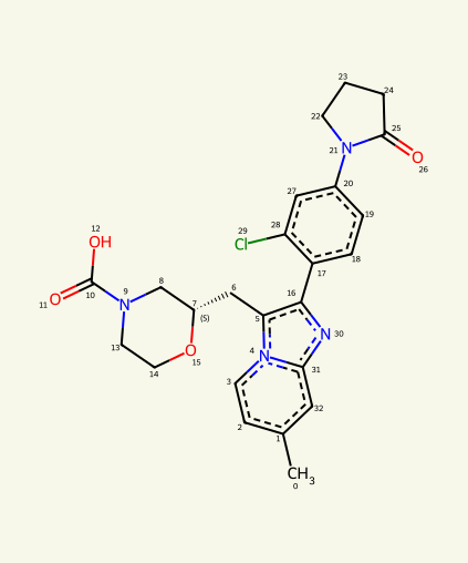 Cc1ccn2c(C[C@H]3CN(C(=O)O)CCO3)c(-c3ccc(N4CCCC4=O)cc3Cl)nc2c1